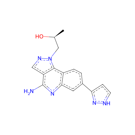 C[C@H](O)Cn1ncc2c(N)nc3cc(-c4cc[nH]n4)ccc3c21